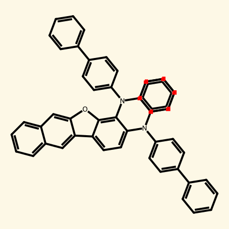 c1ccc(-c2ccc(N(c3ccccc3)c3ccc4c(oc5cc6ccccc6cc54)c3N(c3ccccc3)c3ccc(-c4ccccc4)cc3)cc2)cc1